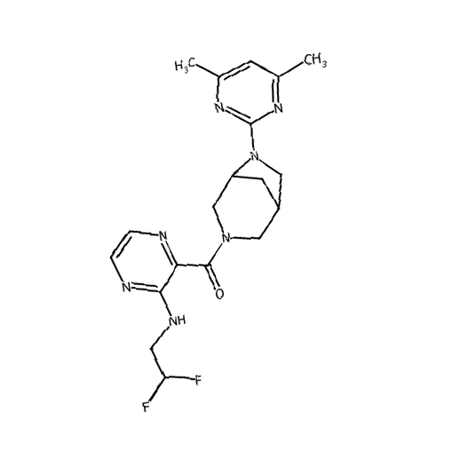 Cc1cc(C)nc(N2CC3CC2CN(C(=O)c2nccnc2NCC(F)F)C3)n1